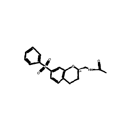 CC(=O)NC[C@H]1CCc2ccc(S(=O)(=O)c3ccccc3)cc2O1